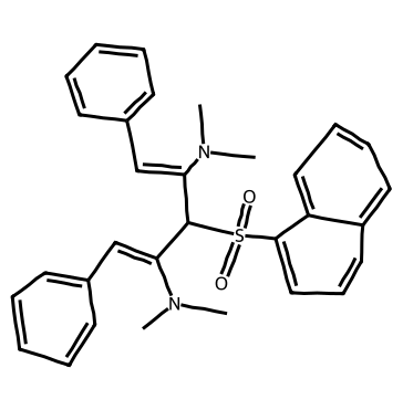 CN(C)C(=Cc1ccccc1)C(C(=Cc1ccccc1)N(C)C)S(=O)(=O)c1cccc2ccccc12